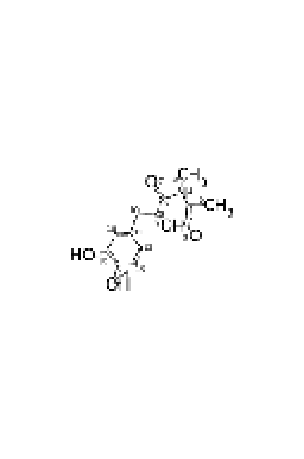 CC(C=O)N(C)C(=O)C(O)Cc1ccc(O)c(O)c1